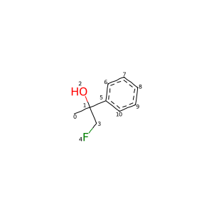 CC(O)(CF)c1ccccc1